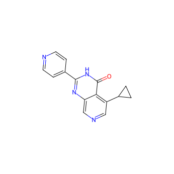 O=c1[nH]c(-c2ccncc2)nc2cncc(C3CC3)c12